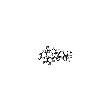 CC1CCC(C(=O)N2CC[C@](c3ccc(C(F)(C(F)(F)F)C(F)(F)F)cc3)([S+]([O-])c3ccc(F)cc3)C2)CC1